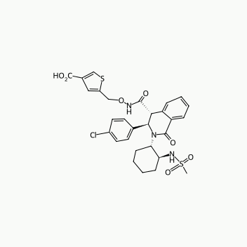 CS(=O)(=O)N[C@H]1CCCC[C@@H]1N1C(=O)c2ccccc2[C@@H](C(=O)NOCc2cc(C(=O)O)cs2)[C@@H]1c1ccc(Cl)cc1